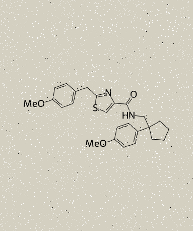 COc1ccc(Cc2nc(C(=O)NCC3(c4ccc(OC)cc4)CCCC3)cs2)cc1